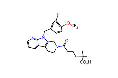 CC(C)(CCCC(=O)N1CCc2c(n(Cc3ccc(OC(F)(F)F)c(F)c3)c3ncccc23)C1)C(=O)O